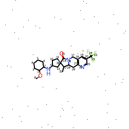 COC1CCCCC1NC1CC[C@@]2(C1)C(=O)N1Cc3cc(C(F)(F)F)cnc3CC1C2C